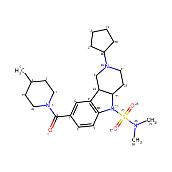 CC1CCN(C(=O)c2ccc3c(c2)C2CN(C4CCCC4)CCC2N3S(=O)(=O)N(C)C)CC1